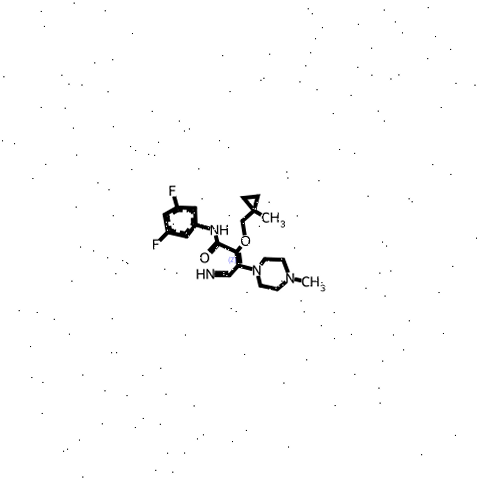 CN1CCN(/C(C=N)=C(\OCC2(C)CC2)C(=O)Nc2cc(F)cc(F)c2)CC1